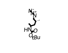 CC(C[C@@H](C)CN=[N+]=[N-])NC(=O)OC(C)(C)C